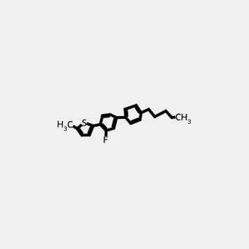 CCCCCc1ccc(-c2ccc(-c3ccc(C)s3)c(F)c2)cc1